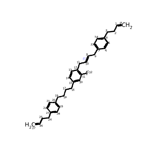 C=CCCc1ccc(C/C=C/Cc2ccc(CCCCc3ccc(CCC=C)cc3)cc2F)cc1